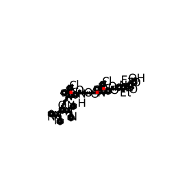 C=C1OCc2c(cc3n(c2=O)Cc2c-3nc3ccc(OC(=O)c4ccc(CN(CCOCCOCCNC(=O)c5ccc(CN(CCCCOc6cc(CN(Cc7ccccn7)Cc7ccccn7)cc(CN(Cc7ccccn7)Cc7ccccn7)c6)C(=O)C6(c7ccc(Cl)cc7)CCCCC6)cc5)C(=O)C5(c6ccc(Cl)cc6)CCCCC5)cc4)cc3c2CC)[C@@]1(O)CC